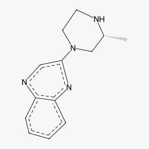 C[C@@H]1CN(c2cnc3ccccc3n2)CCN1